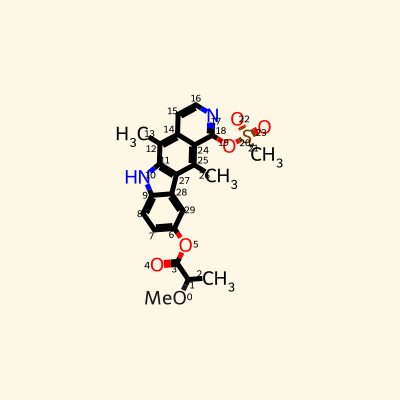 COC(C)C(=O)Oc1ccc2[nH]c3c(C)c4ccnc(OS(C)(=O)=O)c4c(C)c3c2c1